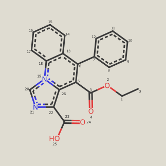 CCOC(=O)c1c(-c2ccccc2)c2ccccc2n2cnc(C(=O)O)c12